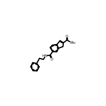 CC(C)(C)C(=O)C1=Cc2ccc(C(=O)NCCc3ccccc3)cc2C1